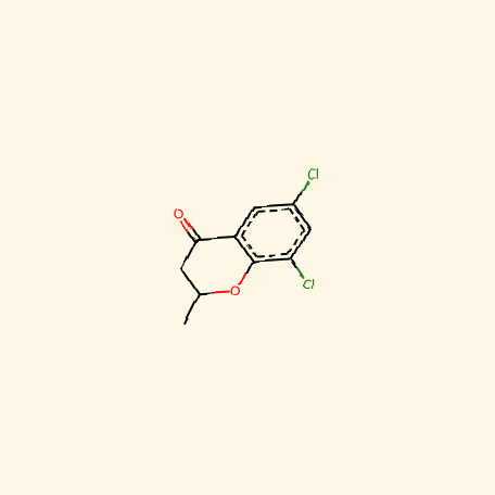 CC1CC(=O)c2cc(Cl)cc(Cl)c2O1